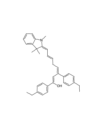 CCc1ccc(/C(O)=C/C(=C\C/C=C/C=C2/N(C)c3ccccc3C2(C)C)c2ccc(CC)cc2)cc1